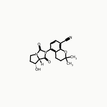 CC1(C)CCc2c(N3C(=O)[C@@H]4[C@H](O)CCN4C3=O)ccc(C#N)c2O1